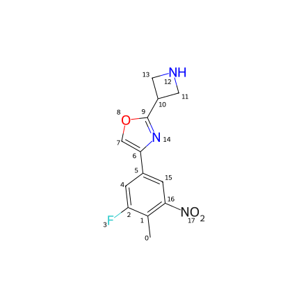 Cc1c(F)cc(-c2coc(C3CNC3)n2)cc1[N+](=O)[O-]